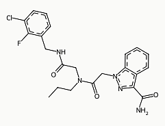 CCCN(CC(=O)NCc1cccc(Cl)c1F)C(=O)Cn1nc(C(N)=O)c2ccccc21